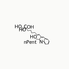 CCCCC[C@H](O)c1nc2ccccc2cc1/C=C/CCCCC(O)(O)C(=O)O